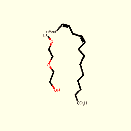 CCCCC/C=C\C/C=C\CCCCCCCC(=O)O.CCOCCOCCO